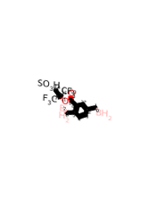 BCc1ccc(CB)c(C(=O)OC(CS(=O)(=O)O)(C(F)(F)F)C(F)(F)F)c1